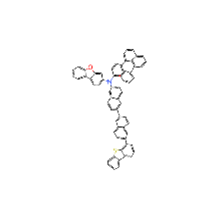 c1ccc(-c2cccc3cccc(-c4ccc(N(c5ccc6cc(-c7ccc8cc(-c9cccc%10c9sc9ccccc9%10)ccc8c7)ccc6c5)c5ccc6c(c5)oc5ccccc56)cc4)c23)cc1